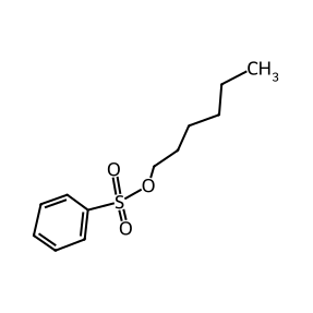 CCCCCCOS(=O)(=O)c1ccccc1